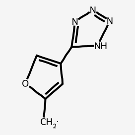 [CH2]c1cc(-c2nnn[nH]2)co1